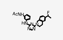 CC(=O)Nc1cccc(Nc2ncnc(N3CCc4cc(C(C)F)ccc4C3)n2)c1